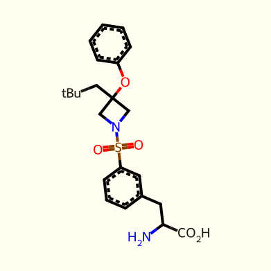 CC(C)(C)CC1(Oc2ccccc2)CN(S(=O)(=O)c2cccc(CC(N)C(=O)O)c2)C1